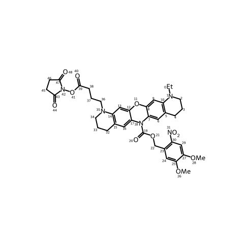 CCN1CCCc2cc3c(cc21)Oc1cc2c(cc1N3C(=O)OCc1cc(OC)c(OC)cc1[N+](=O)[O-])CCCN2CCCC(=O)ON1C(=O)CCC1=O